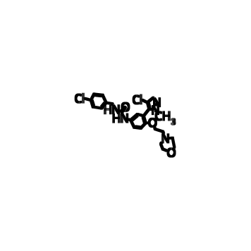 Cn1ncc(Cl)c1-c1cc(NC(=O)NCc2ccc(Cl)cc2)ccc1OCCN1CCOCC1